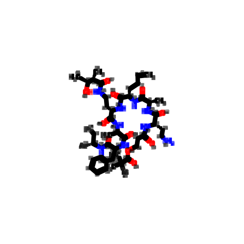 C=CCC[C@H](NC(=O)[C@H](C)NC(=O)[C@H](CCN)NC(=O)CCOC(=O)C(C)(C)CC)C(=O)N[C@@H](CCNC(=O)[C@@H](C)[C@H](C)O)C(=O)NC(C)C(=O)NC(Cc1ccccc1)C(=O)N[C@@H](CC(C)C)C(C)=O